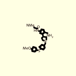 CNCC(=O)Nc1ccc(CN)c(C2CCN(Cc3ccc(Sc4ccc(OC)cc4)cc3)CC2)c1